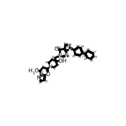 CC(CC(=O)N1CCC(O)(Cn2cnc3c(cnn3-c3ccc(-c4ccccc4)cc3)c2=O)CC1)n1cccn1